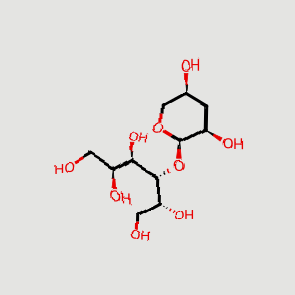 OC[C@@H](O)[C@@H](O[C@H]1OC[C@@H](O)C[C@H]1O)[C@H](O)[C@@H](O)CO